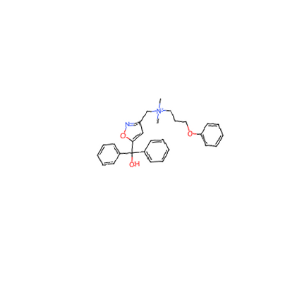 C[N+](C)(CCCOc1ccccc1)Cc1cc(C(O)(c2ccccc2)c2ccccc2)on1